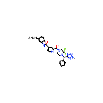 CC(=O)Nc1ccc2oc(-c3ccnc(C(=O)N4CCN(C(c5ccccc5)c5nnn(C)n5)C(F)(F)C4)c3)nc2c1